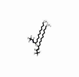 CCCCCCCCCCCC(/C=C(\F)C(F)(F)F)OC(/C=C(\F)C(F)(F)F)CCCCCCCCCCC